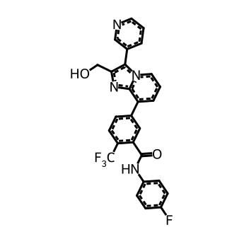 O=C(Nc1ccc(F)cc1)c1cc(-c2cccn3c(-c4cccnc4)c(CO)nc23)ccc1C(F)(F)F